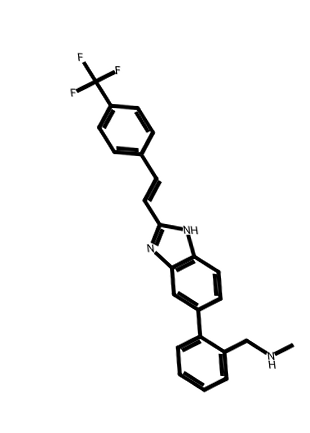 CNCc1ccccc1-c1ccc2[nH]c(/C=C/c3ccc(C(F)(F)F)cc3)nc2c1